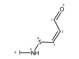 O=C/C=C\SNI